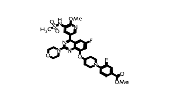 COC(=O)c1ccc(N2CCC(Oc3cc(F)cc4c(-c5cnc(OC)c(NS(C)(=O)=O)c5)nc(N5CCOCC5)nc34)CC2)c(F)c1